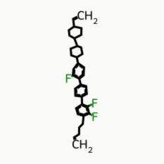 C=CCCCc1ccc(-c2ccc(-c3ccc(C4CCC(C5CCC(C=C)CC5)CC4)cc3F)cc2)c(F)c1F